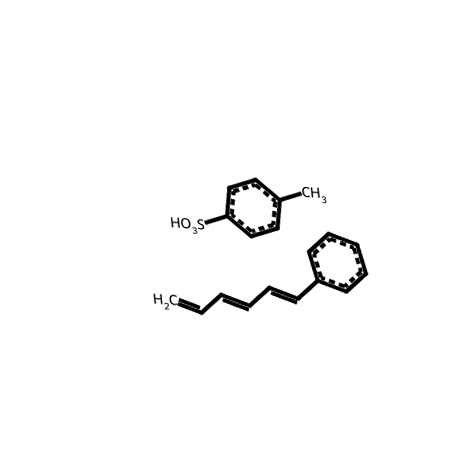 C=CC=CC=Cc1ccccc1.Cc1ccc(S(=O)(=O)O)cc1